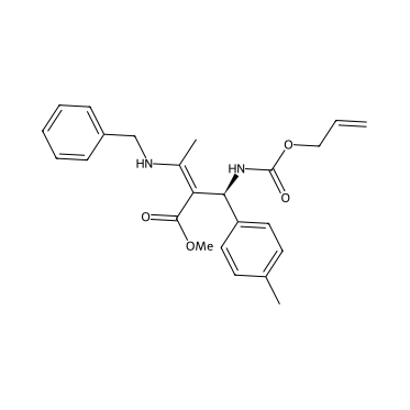 C=CCOC(=O)N[C@H](/C(C(=O)OC)=C(\C)NCc1ccccc1)c1ccc(C)cc1